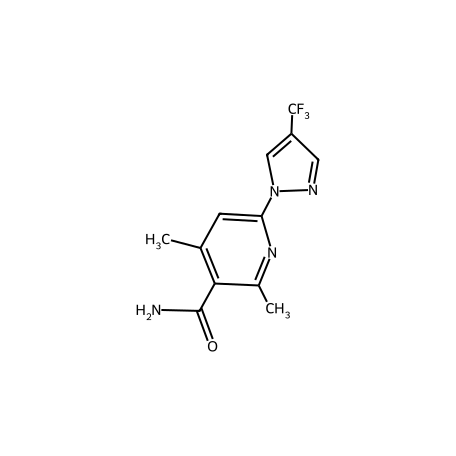 Cc1cc(-n2cc(C(F)(F)F)cn2)nc(C)c1C(N)=O